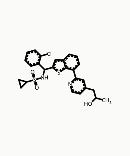 CC(O)Cc1ccnc(-c2cccc3cc(C(NS(=O)(=O)C4CC4)c4ccccc4Cl)sc23)c1